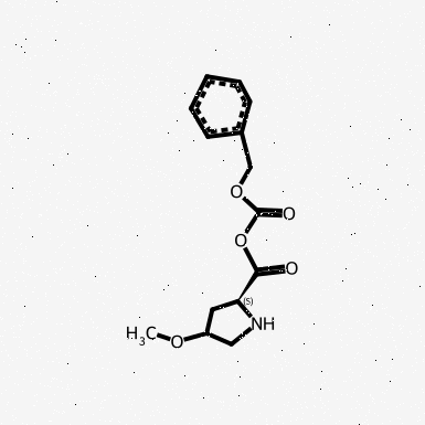 COC1CN[C@H](C(=O)OC(=O)OCc2ccccc2)C1